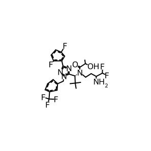 CC(O)C(=O)N(CCC(N)C(F)F)[C@@H](c1nc(-c2cc(F)ccc2F)nn1Cc1cccc(C(F)(F)F)c1)C(C)(C)C